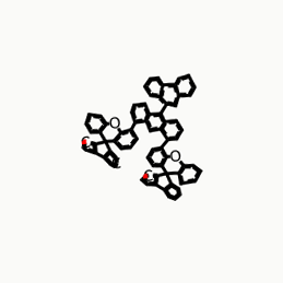 c1ccc2c(c1)Oc1c(-c3cccc4c(-c5cc6ccccc6c6ccccc56)c5cccc(-c6cccc7c6Oc6ccccc6C76c7ccccc7-c7ccccc76)c5cc34)cccc1C21c2ccccc2-c2ccccc21